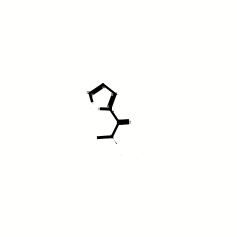 CCOC(=O)[C@@H](C)C(=O)c1ccco1